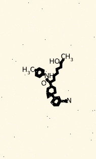 CCC(O)CCCCCC(C(=O)Nc1ccc(C)cc1)C1CCC2(c3cccc(C#N)c3)CC2C1